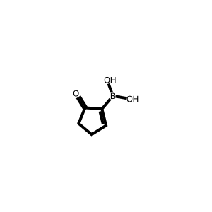 O=C1CCC=C1B(O)O